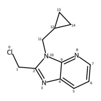 ClCc1nc2cccnc2n1CC1CC1